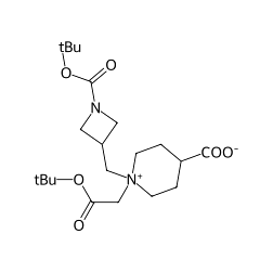 CC(C)(C)OC(=O)C[N+]1(CC2CN(C(=O)OC(C)(C)C)C2)CCC(C(=O)[O-])CC1